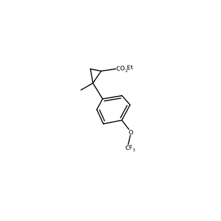 CCOC(=O)C1CC1(C)c1ccc(OC(F)(F)F)cc1